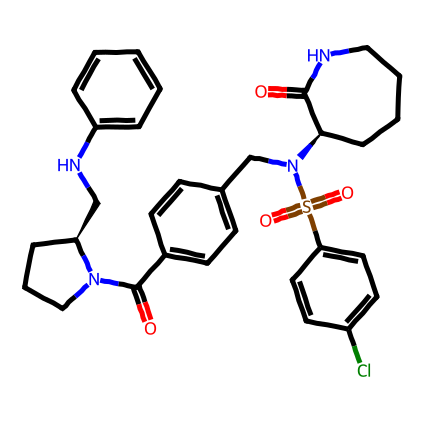 O=C1NCCCC[C@H]1N(Cc1ccc(C(=O)N2CCC[C@H]2CNc2ccccc2)cc1)S(=O)(=O)c1ccc(Cl)cc1